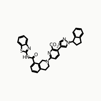 O=C(Nc1nc2ccccc2s1)c1cccc2c1CN(c1ccc(-c3cnn(C4CCc5ccccc54)c3)c(C(=O)O)n1)CC2